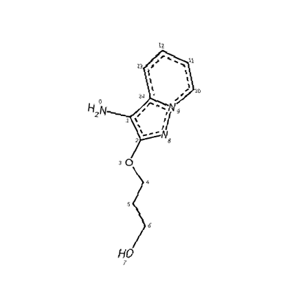 Nc1c(OCCCO)nn2ccccc12